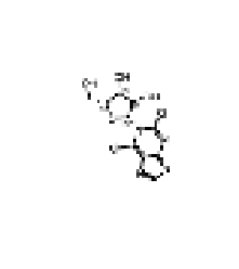 OC[C@H]1O[C@@H](n2c(Cl)nc3ncnc-3c2Cl)[C@H](O)[C@H]1O